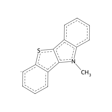 Cn1c2ccccc2c2sc3[c]cccc3c21